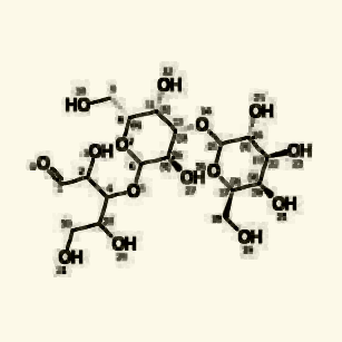 O=CC(O)C(OC1O[C@H](CO)[C@H](O)[C@H](OC2O[C@H](CO)[C@H](O)[C@H](O)[C@H]2O)[C@H]1O)C(O)CO